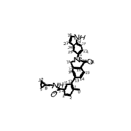 Cc1ccc(C(=O)NC2CC2)cc1-c1ccc2c(c1)CN(c1ccc3[nH]ccc3c1)C2=O